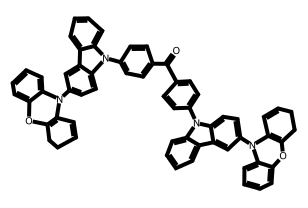 O=C(c1ccc(-n2c3ccccc3c3cc(N4C5=C(CCC=C5)Oc5ccccc54)ccc32)cc1)c1ccc(-n2c3ccccc3c3cc(N4C5=C(CCC=C5)Oc5ccccc54)ccc32)cc1